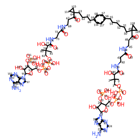 CC(C)(COP(=O)(O)OP(=O)(O)OCC1OC(n2cnc3c(N)ncnc32)C(O)C1OP(=O)(O)O)C(O)C(=O)NCCC(=O)NCCC(=O)C1(CCCCCCc2ccc(CCCCC3(C(=O)CCNC(=O)CCNC(=O)C(O)C(C)(C)COP(=O)(O)OP(=O)(O)OCC4OC(n5cnc6c(N)ncnc65)C(O)C4OP(=O)(O)O)CC3)cc2)CC1